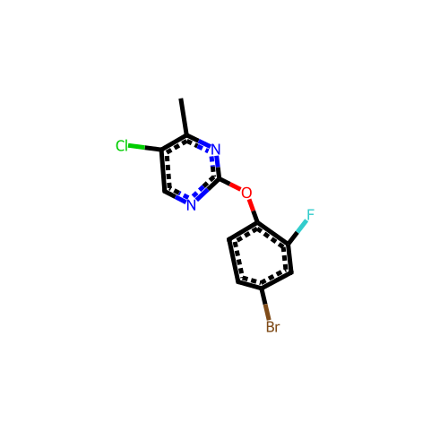 Cc1nc(Oc2ccc(Br)cc2F)ncc1Cl